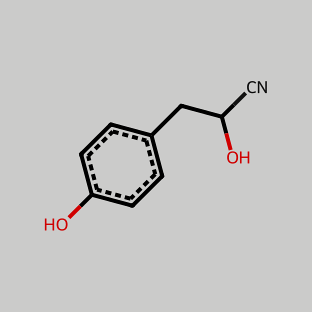 N#CC(O)Cc1ccc(O)cc1